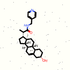 CC(C(=O)NCc1ccncc1)[C@H]1CC[C@H]2[C@@H]3CC=C4C[C@@H](O)CC[C@]4(C)[C@H]3CC[C@]12C